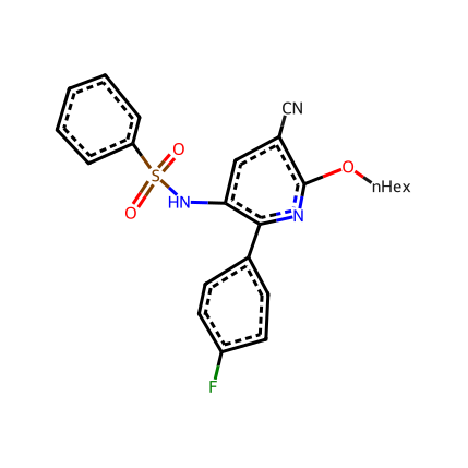 CCCCCCOc1nc(-c2ccc(F)cc2)c(NS(=O)(=O)c2ccccc2)cc1C#N